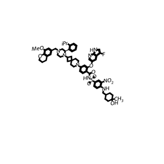 COc1cc(CN2CCN(C3CC4(CCN(c5ccc(C(=O)NS(=O)(=O)c6ccc(NCC7CCC(C)(O)CC7)c([N+](=O)[O-])c6)c(Oc6cnc7[nH]cc(F)c7c6)c5)CC4)C3)[C@H](c3ccccc3C(C)C)C2)cc2c1OCCC2